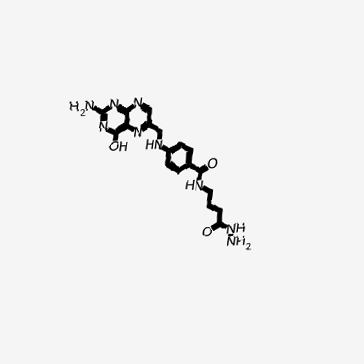 NNC(=O)CCCNC(=O)c1ccc(NCc2cnc3nc(N)nc(O)c3n2)cc1